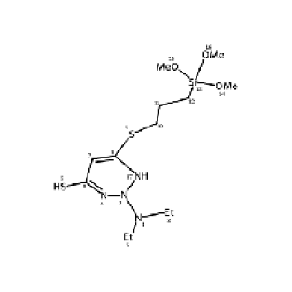 CCN(CC)N1N=C(S)C=C(SCCC[Si](OC)(OC)OC)N1